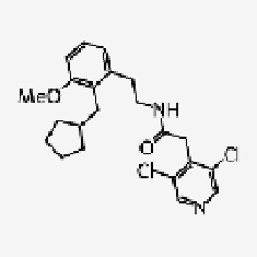 COc1cccc(CCNC(=O)Cc2c(Cl)cncc2Cl)c1CC1CCCC1